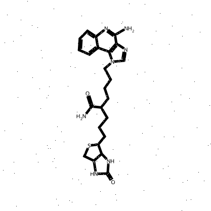 NC(=O)C(CCCCn1cnc2c(N)nc3ccccc3c21)CCCC1SCC2NC(=O)NC21